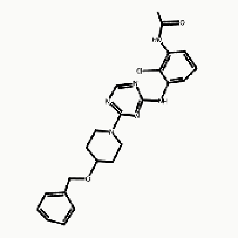 CC(=O)Nc1cccc(Nc2ncnc(N3CCC(OCc4ccccc4)CC3)n2)c1Cl